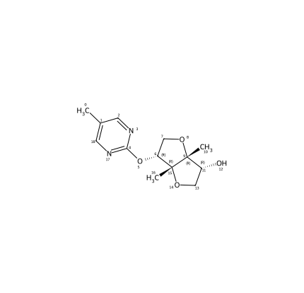 Cc1cnc(O[C@@H]2CO[C@]3(C)[C@H](O)CO[C@]23C)nc1